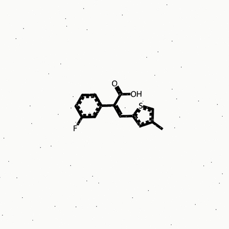 Cc1csc(C=C(C(=O)O)c2cccc(F)c2)c1